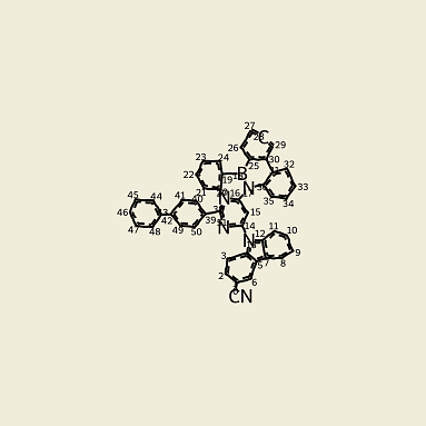 N#Cc1ccc2c(c1)c1ccccc1n2-c1cc(N2B(c3ccccc3)c3ccccc3-c3ccccc32)nc(-c2ccc(-c3ccccc3)cc2)n1